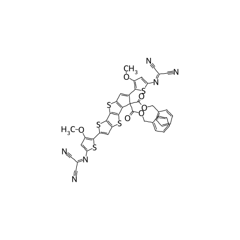 COc1cc(N=C(C#N)C#N)sc1C1=Cc2sc3c(sc4cc(-c5sc(N=C(C#N)C#N)cc5OC)sc43)c2C1(C(=O)OCc1ccccc1)C(=O)OCc1ccccc1